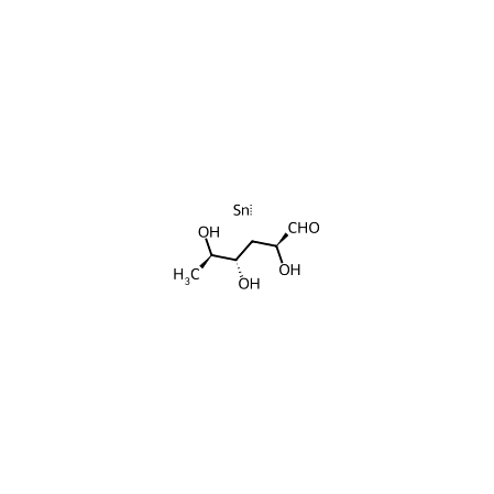 C[C@@H](O)[C@@H](O)C[C@H](O)C=O.[Sn]